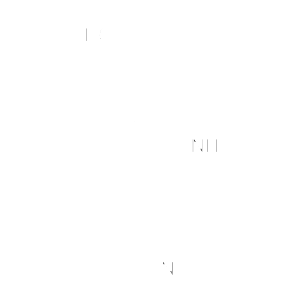 Cc1cccc2[nH]c(-c3cccnc3)cc12